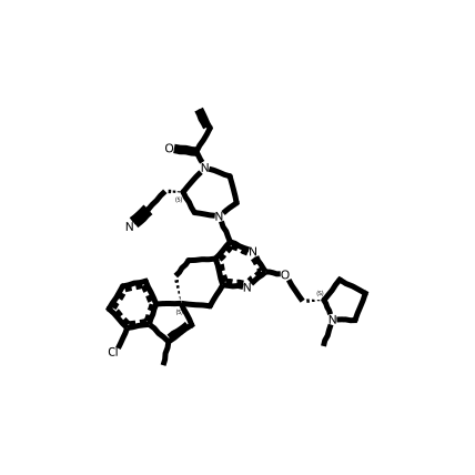 C=CC(=O)N1CCN(c2nc(OC[C@@H]3CCCN3C)nc3c2CC[C@@]2(C=C(C)c4c(Cl)cccc42)C3)C[C@@H]1CC#N